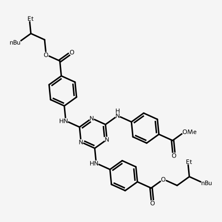 CCCCC(CC)COC(=O)c1ccc(Nc2nc(Nc3ccc(C(=O)OC)cc3)nc(Nc3ccc(C(=O)OCC(CC)CCCC)cc3)n2)cc1